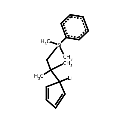 [Li][C]1(C(C)(C)C[Si](C)(C)c2ccccc2)C=CC=C1